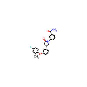 Cc1cc(F)ccc1Oc1cccc(C2CC(=O)N(c3cccc(C(N)=O)c3)C2)c1